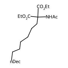 CCCCCCCCCCCCCCCCC(NC(C)=O)(C(=O)OCC)C(=O)OCC